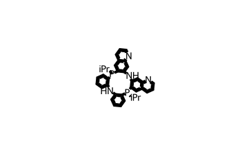 CC(C)P1c2ccccc2Nc2ccccc2P(C(C)C)c2cc3cccnc3cc2Nc2cc3ncccc3cc21